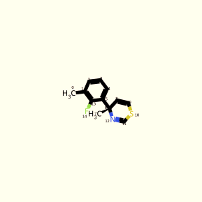 Cc1cccc([C@]2(C)C=CS[C]=N2)c1F